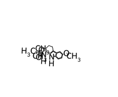 COc1ccc2[nH]c3c(c2c1)CCC[C@H]3NS(=O)(=O)C(C)(C)C